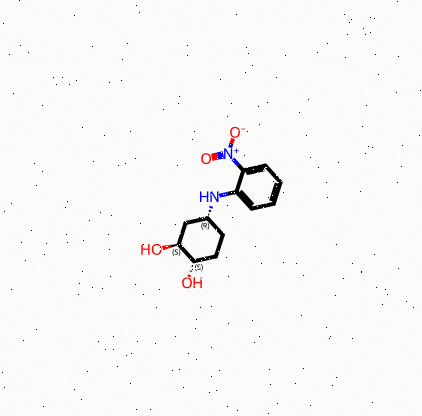 O=[N+]([O-])c1ccccc1N[C@@H]1CC[C@H](O)[C@@H](O)C1